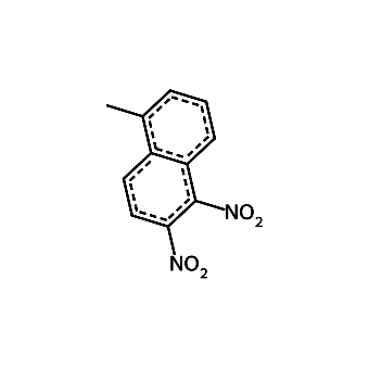 Cc1cccc2c([N+](=O)[O-])c([N+](=O)[O-])ccc12